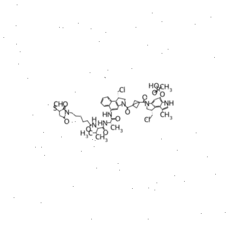 CSC1CC(=O)N(CCCCCC(=O)N[C@H](C(=O)N[C@@H](C)C(=O)Nc2cc3c(c4ccccc24)[C@H](CCl)CN3C(=O)C23CC(C(=O)N4C[C@@H](CCl)c5c4cc(OP(C)(=O)O)c4[nH]cc(C)c54)(C2)C3)C(C)C)C1=O